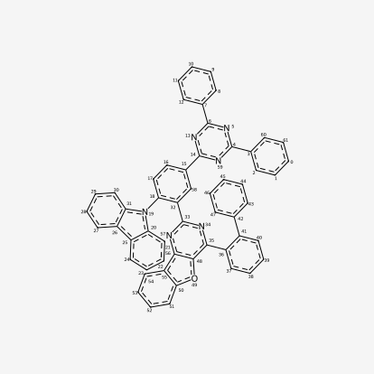 c1ccc(-c2nc(-c3ccccc3)nc(-c3ccc(-n4c5ccccc5c5ccccc54)c(-c4nc(-c5ccccc5-c5ccccc5)c5oc6ccccc6c5n4)c3)n2)cc1